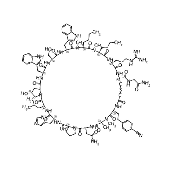 CCCC[C@H]1C(=O)N(C)[C@@H](CCCC)C(=O)N[C@@H](CCCNC(=N)N)C(=O)N[C@H](C(=O)NCC(N)=O)CSCC(=O)N[C@@H](CCc2ccc(C#N)cc2)C(=O)N(C)[C@@H](C)C(=O)NC(CC(N)=O)C(=O)N2CCC[C@H]2C(=O)N[C@@H](Cc2cnc[nH]2)C(=O)N[C@@H](CC(C)C)C(=O)N2C[C@H](O)CC2C(=O)N[C@@H](Cc2c[nH]c3ccccc23)C(=O)N[C@@H](CO)C(=O)N[C@@H](Cc2c[nH]c3ccccc23)C(=O)N1C